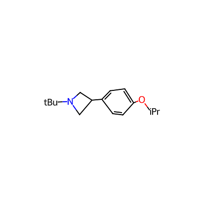 CC(C)Oc1ccc(C2CN(C(C)(C)C)C2)cc1